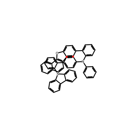 c1ccc(N(c2ccc(-c3ccccc3-n3c4ccccc4c4ccccc43)cc2)c2ccccc2-c2ccc3oc4c5ccccc5ccc4c3c2)cc1